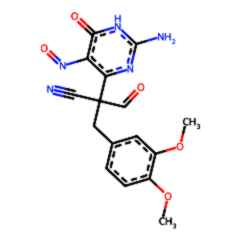 COc1ccc(CC(C#N)(C=O)c2nc(N)[nH]c(=O)c2N=O)cc1OC